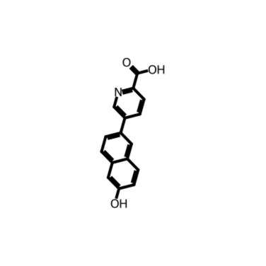 O=C(O)c1ccc(-c2ccc3cc(O)ccc3c2)cn1